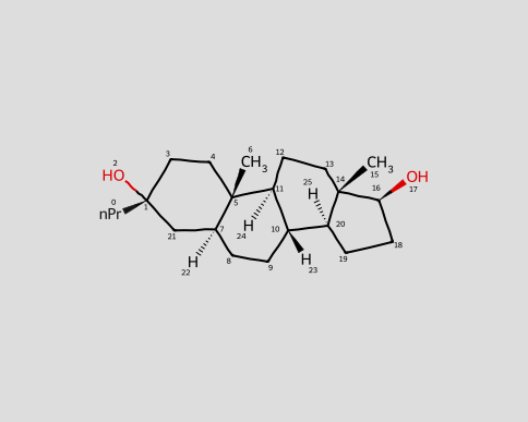 CCC[C@@]1(O)CC[C@@]2(C)[C@@H](CC[C@@H]3[C@@H]2CC[C@]2(C)[C@@H](O)CC[C@@H]32)C1